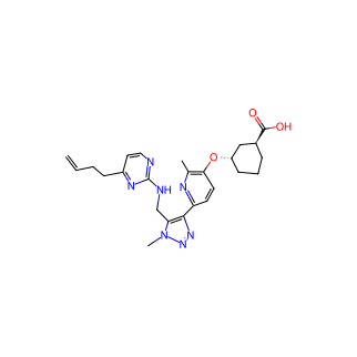 C=CCCc1ccnc(NCc2c(-c3ccc(O[C@H]4CCC[C@H](C(=O)O)C4)c(C)n3)nnn2C)n1